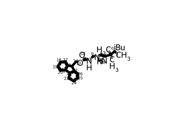 CCC(C)C(C)C(C)(C)c1cn(CNC(=O)OCC2c3ccccc3-c3ccccc32)nn1